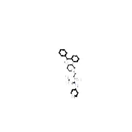 N#CN/C(=N\c1ccncc1)NCCN1CCC(OC(c2ccccc2)c2ccccc2)CC1